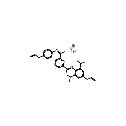 C=CCc1ccc(N=C(C)c2cccc(C(C)=Nc3c(C(C)C)cc(CC=C)cc3C(C)C)n2)cc1.[Br-].[Br-].[Fe+2]